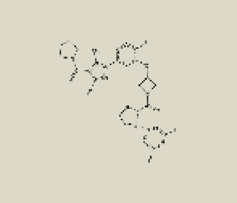 Cc1nn(-c2cc(OC3CN(C(=O)N4N=CC[C@H]4c4cc(F)cc(F)c4)C3)c(F)cn2)c(C)c1C(=O)N1CCCC1